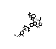 C=CC(=O)N1CCC[C@@H]1c1cc(N2C[C@H]3[C@H]2CCC[C@@H]3S(C)(=O)=O)c2cnc(Nc3ccnc(N4CC[C@@H](OC)[C@@H](F)C4)n3)cc2c1C(C)C